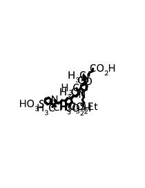 CCOC(=O)C1(C(=O)O)CC(/C=C/C2=Nc3ccc(S(=O)(=O)O)cc3C2(C)C)=CC(=C/C=C2/N(CCCS(=O)(=O)O)c3ccc(S(=O)(=O)N(C)CCCC(=O)O)cc3C2(C)C)/C1